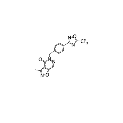 Cc1noc2cnn(Cc3ccc(-c4noc(C(F)(F)F)n4)cc3)c(=O)c12